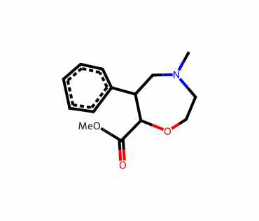 COC(=O)C1OCCN(C)CC1c1ccccc1